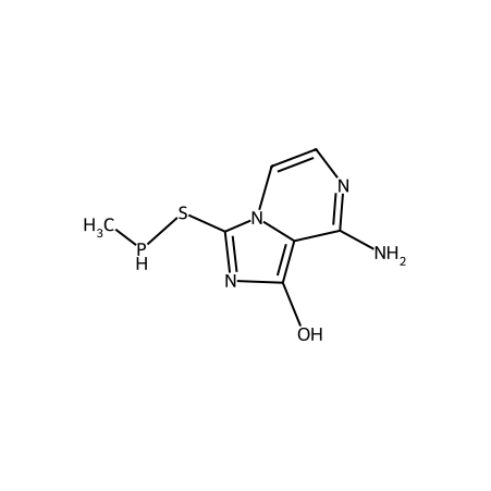 CPSc1nc(O)c2c(N)nccn12